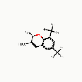 [2H]C([2H])([2H])c1cc2c(c(C([2H])([2H])[2H])c1)O[C@H](C(F)(F)F)C(C(=O)O)=C2